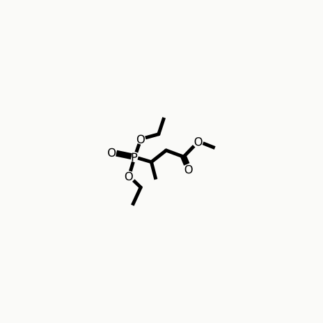 CCOP(=O)(OCC)C(C)CC(=O)OC